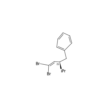 CC(C)[C@@H](C=C(Br)Br)Cc1ccccc1